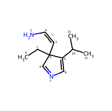 CCC1(/C=C\N)C=NC=C1C(C)C